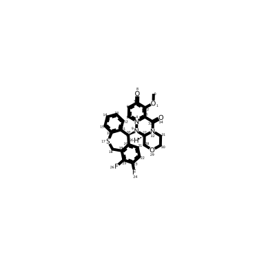 COc1c2n(ccc1=O)N([C@@H]1c3ccccc3SCc3c1ccc(F)c3F)[C@@H]1COCCN1C2=O